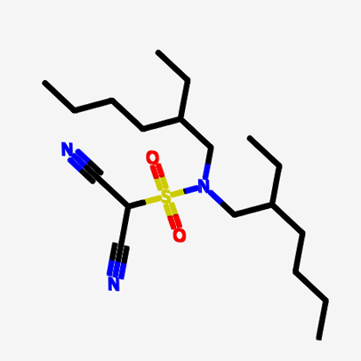 CCCCC(CC)CN(CC(CC)CCCC)S(=O)(=O)C(C#N)C#N